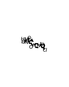 O=C1NC(=O)C(CCC(=O)N2CCN(c3cc(Cl)ccn3)CC2)(C2CC2)N1